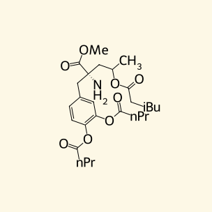 CCCC(=O)Oc1ccc(C[C@](N)(CC(C)OC(=O)CC(C)CC)C(=O)OC)cc1OC(=O)CCC